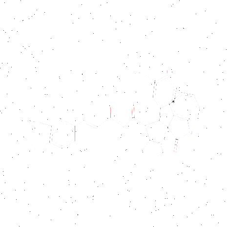 COc1cc(/C=C/C(O)=C/C(=O)C2C3CSCN3C3(C(=O)Nc4ccccc43)C2c2ccc(O)c(OC)c2)ccc1O